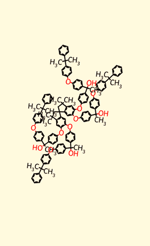 CC1(C)CC2(CC(C)(C)c3cc(Oc4ccc(C(C)(O)c5ccc(Oc6ccc(C(C)(C)c7ccccc7)cc6)cc5)cc4)c(Oc4ccc(C(C)(O)c5ccc(Oc6ccc(C(C)(C)c7ccccc7)cc6)cc5)cc4)cc32)c2cc(Oc3ccc(C(C)(O)c4ccc(Oc5ccc(C(C)(C)c6ccccc6)cc5)cc4)cc3)c(Oc3ccc(C(C)(O)c4ccc(Oc5ccc(C(C)(C)c6ccccc6)cc5)cc4)cc3)cc21